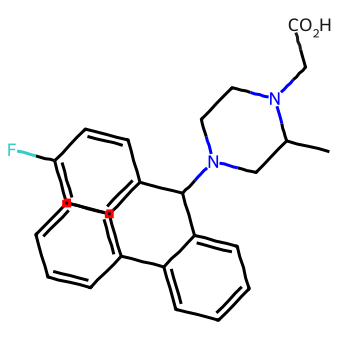 CC1CN(C(c2ccc(F)cc2)c2ccccc2-c2ccccc2)CCN1CC(=O)O